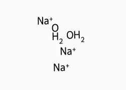 O.O.[Na+].[Na+].[Na+]